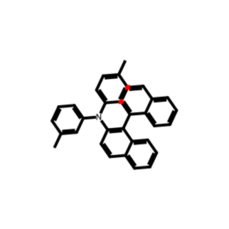 Cc1ccc(N(c2cccc(C)c2)c2ccc3ccccc3c2-c2cccc3ccccc23)cc1